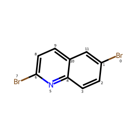 Brc1ccc2nc(Br)ccc2c1